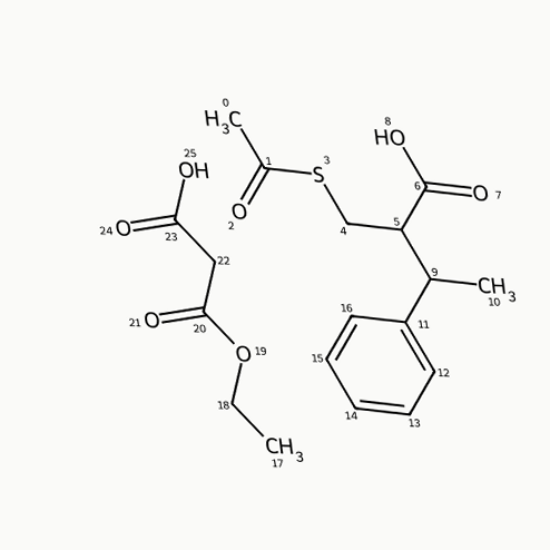 CC(=O)SCC(C(=O)O)C(C)c1ccccc1.CCOC(=O)CC(=O)O